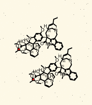 CCC1=C[C@@H]2C[N@](C1)Cc1c([nH]c3ccccc13)[C@@](C(=O)OC)(c1cc3c(cc1OC)N(C)[C@H]1[C@@](O)(C(=O)OC)[C@H](OC(C)=O)[C@]4(CC)C=CCN5CC[C@]31[C@@H]54)C2.CCC1=C[C@@H]2C[N@](C1)Cc1c([nH]c3ccccc13)[C@@](C(=O)OC)(c1cc3c(cc1OC)N(C)[C@H]1[C@@](O)(C(=O)OC)[C@H](OC(C)=O)[C@]4(CC)C=CCN5CC[C@]31[C@@H]54)C2